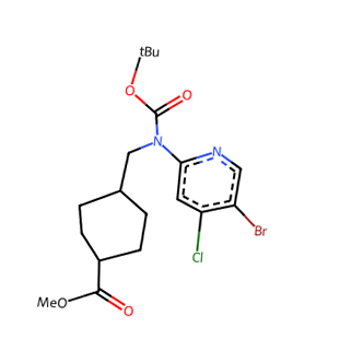 COC(=O)C1CCC(CN(C(=O)OC(C)(C)C)c2cc(Cl)c(Br)cn2)CC1